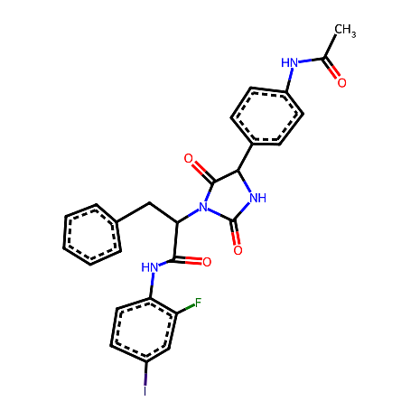 CC(=O)Nc1ccc(C2NC(=O)N(C(Cc3ccccc3)C(=O)Nc3ccc(I)cc3F)C2=O)cc1